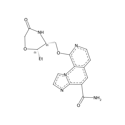 CC[C@@H]1OCC(=O)N[C@@H]1COc1nccc2cc(C(N)=O)c3nccn3c12